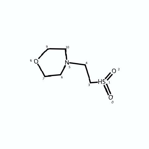 O=[SH](=O)CCN1CCOCC1